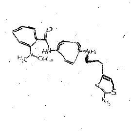 CN(C)c1ccccc1C(=O)Nc1ccc(NCCc2csc(N)n2)cc1